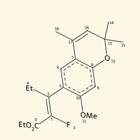 CCOC(=O)C(F)=C(CC)c1cc2c(cc1OC)OC(C)(C)C=C2C